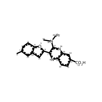 Cc1ccc2oc(-c3nc4ccc(C(=O)O)cc4nc3N(C)C(C)C)cc2c1